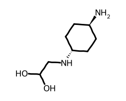 N[C@H]1CC[C@H](NCC(O)O)CC1